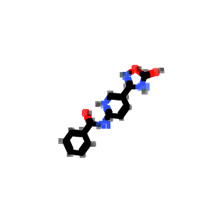 O=C(Nc1ccc(-c2noc(=O)[nH]2)cn1)c1ccccc1